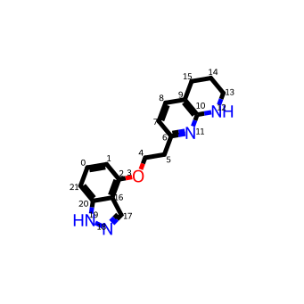 c1cc(OCCc2ccc3c(n2)NCCC3)c2cn[nH]c2c1